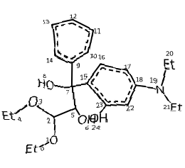 CCOC(OCC)C(O)C(O)(c1ccccc1)c1ccc(N(CC)CC)cc1O